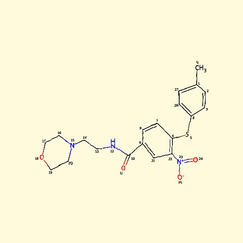 Cc1ccc(Sc2ccc(C(=O)NCCN3CCOCC3)cc2[N+](=O)[O-])cc1